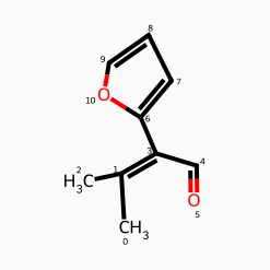 CC(C)=C(C=O)c1ccco1